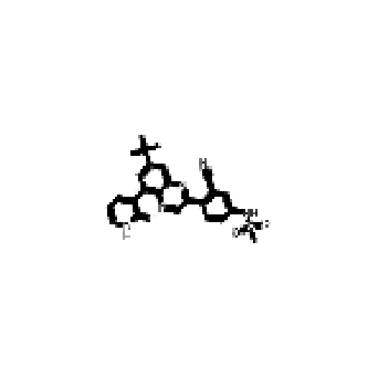 CC(C)(C)c1cc(-c2ccc[nH]c2=O)c2ncc(-c3ccc(NS(C)(=O)=O)cc3C#N)nc2c1